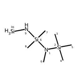 CN([Si](C)(C)C)[Si](C)(C)N[SiH3]